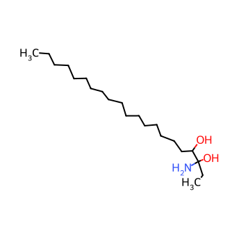 CCCCCCCCCCCCCCCCCC(O)C(N)(O)CC